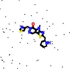 Cn1c2nc(CC3=CC=CCN3)sc2c2cnn(Cc3cscn3)c(=O)c21